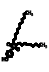 CCCCCCCCCCCCC1C(=O)N(c2ccc(O)cc2)C(=O)C1CCCCCCCCC